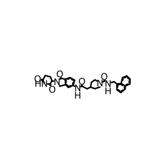 O=C1CCC(N2Cc3cc(NC(=O)CC4CCN(C(=O)NCc5cccc6ccccc56)CC4)ccc3C2=O)C(=O)N1